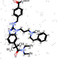 COC(=O)c1ccc(CNc2nc3ccc(C(C)(C)C(=O)N(CC(C)C)CC(C)C)cc3n2CCCN(C)CCc2ccccc2)cc1